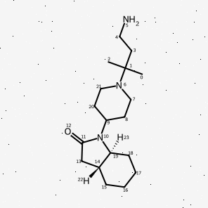 CC(C)(CCN)N1CCC(N2C(=O)C[C@H]3CCCC[C@@H]32)CC1